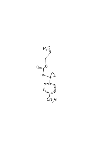 C=CCOC(=O)NC1(c2ccc(C(=O)O)cc2)CC1